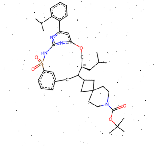 CC(C)C[C@@H]1COc2cc(-c3ccccc3C(C)C)nc(n2)NS(=O)(=O)c2cccc(c2)CC1C1CC2(CCN(C(=O)OC(C)(C)C)CC2)C1